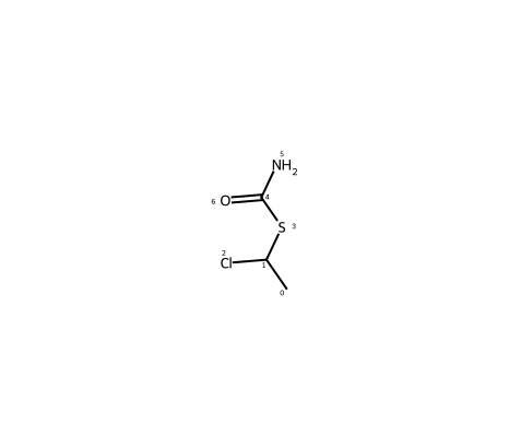 CC(Cl)SC(N)=O